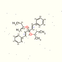 CCC(C)O[Si](/C=C/c1ccccc1)(/C=C/c1ccccc1)OC(C)CC